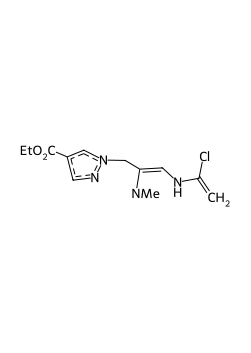 C=C(Cl)N/C=C(/Cn1cc(C(=O)OCC)cn1)NC